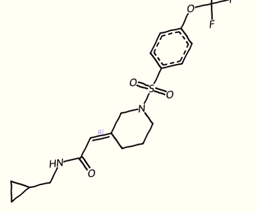 O=C(/C=C1\CCCN(S(=O)(=O)c2ccc(OC(F)(F)F)cc2)C1)NCC1CC1